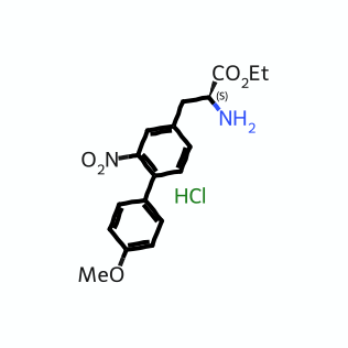 CCOC(=O)[C@@H](N)Cc1ccc(-c2ccc(OC)cc2)c([N+](=O)[O-])c1.Cl